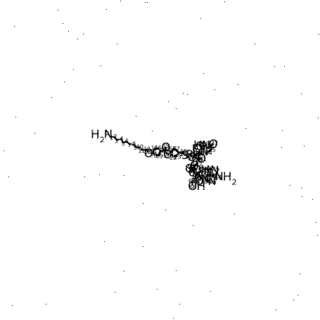 NCCCCCCCCCCCCOc1ccc(C(=O)Oc2ccc(CSPO[C@H]3[C@@H](F)[C@H](n4ccc(=O)[nH]c4=O)O[C@@H]3COP(=O)(O)O[C@H]3[C@@H](F)[C@H](n4cnc5c(N)ncnc54)O[C@@H]3CO)cc2)cc1